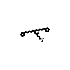 C=C(CCCN(C)C)CC(CCCCCC1CCCC1)CCCCCC1CCCC1